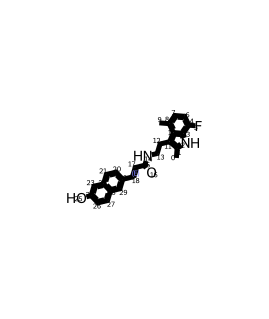 Cc1[nH]c2c(F)ccc(C)c2c1CCNC(=O)/C=C/c1ccc2cc(O)ccc2c1